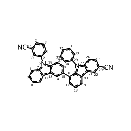 N#Cc1cccc(-n2c3ccccc3c3cc(-c4cccc5c6cc(C#N)ccc6n(-c6ccccc6)c45)ccc32)c1